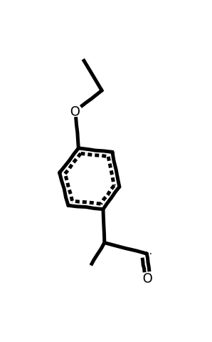 CCOc1ccc(C(C)[C]=O)cc1